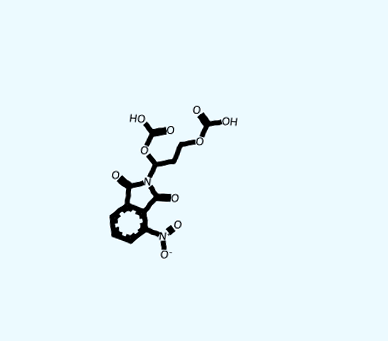 O=C(O)OCCC(OC(=O)O)N1C(=O)c2cccc([N+](=O)[O-])c2C1=O